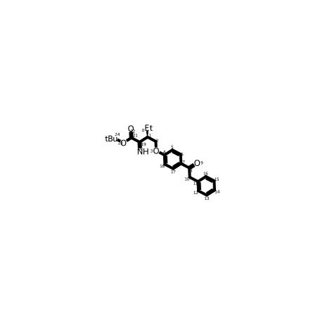 CC[C@@H](COc1ccc(C(=O)Cc2ccccc2)cc1)C(=N)C(=O)OC(C)(C)C